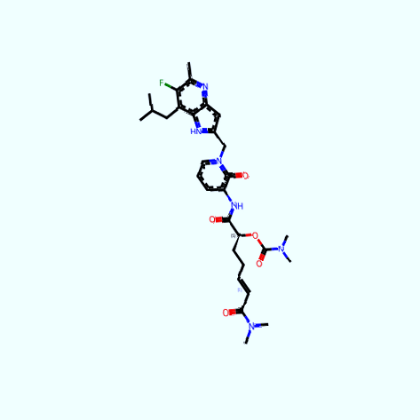 Cc1nc2cc(Cn3cccc(NC(=O)[C@H](CC/C=C/C(=O)N(C)C)OC(=O)N(C)C)c3=O)[nH]c2c(CC(C)C)c1F